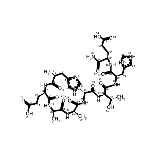 C[C@H](Cc1c[nH]cn1)C(=O)N[C@H](CCC(=O)O)C(=O)N[C@H](C)C(=O)N[C@H](C)C(=O)N[C@H](C)C(=O)N[C@@H](C(=O)N[C@H](Cc1c[nH]cn1)C(=O)N[C@H](CCC(=O)O)C(N)=O)[C@H](C)O